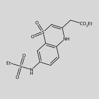 CCOC(=O)CC1=CS(=O)(=O)c2cc(NS(=O)(=O)CC)ccc2N1